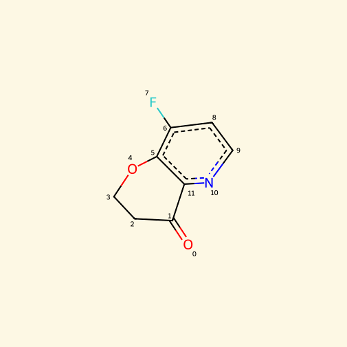 O=C1CCOc2c(F)ccnc21